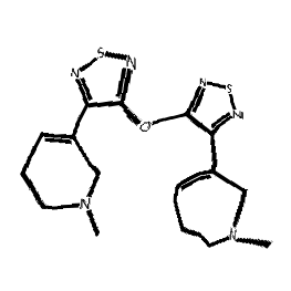 CN1CCC=C(c2nsnc2Oc2nsnc2C2=CCCN(C)C2)C1